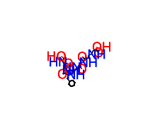 O=C(O)CNCCC(=O)NCC(=O)NCC(=O)N[C@@H](Cc1ccccc1)C(=O)NCC(=O)NCO